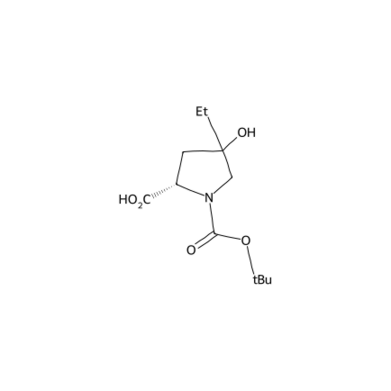 CCC1(O)C[C@@H](C(=O)O)N(C(=O)OC(C)(C)C)C1